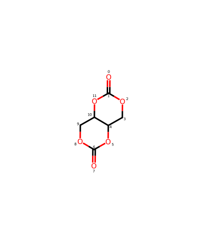 O=C1OCC2OC(=O)OCC2O1